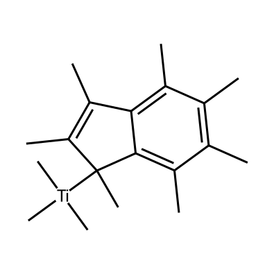 CC1=C(C)[C](C)([Ti]([CH3])([CH3])[CH3])c2c(C)c(C)c(C)c(C)c21